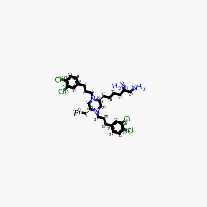 CC(C)C[C@@H]1CN(CCCc2ccc(Cl)c(Cl)c2)[C@@H](CCCCC(N)CN)CN1CCCc1ccc(Cl)c(Cl)c1